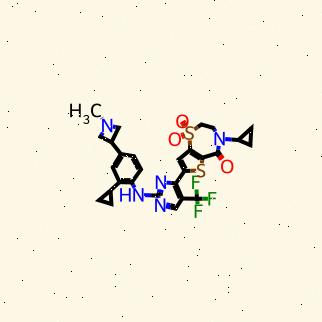 CN1CC(c2ccc(Nc3ncc(C(F)(F)F)c(-c4cc5c(s4)C(=O)N(C4CC4)CCS5(=O)=O)n3)c(C3CC3)c2)C1